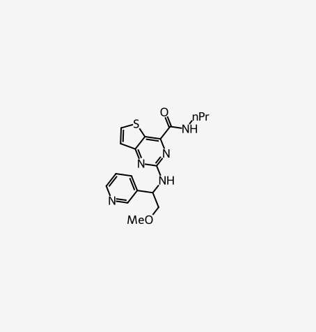 CCCNC(=O)c1nc(NC(COC)c2cccnc2)nc2ccsc12